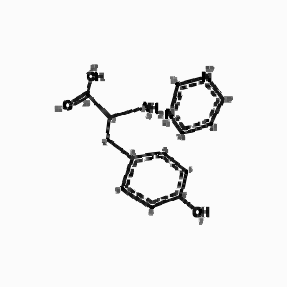 NC(Cc1ccc(O)cc1)C(=O)O.c1cncnc1